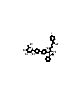 OCC1OC(c2ccc(-c3ccc(C4C(CCCC(O)c5ccc(F)cc5)NC(=S)N4c4ccccc4)c(O)c3)cc2)C(O)C(O)C1O